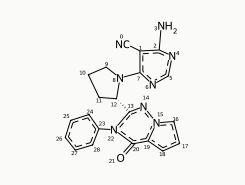 N#Cc1c(N)ncnc1N1CCC[C@H]1c1nn2cccc2c(=O)n1-c1ccccc1